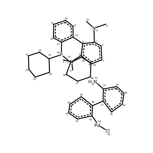 CN(C)c1cccc(N(C)C)c1-c1ccccc1P(C1CCCCC1)C1CCCCC1.Nc1ccccc1-c1cccc[c]1[Pd][Cl]